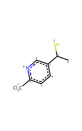 CC(S)c1ccc(C(Cl)(Cl)Cl)nc1